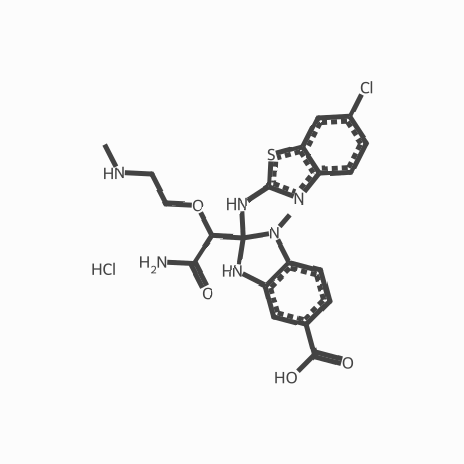 CNCCOC(C(N)=O)C1(Nc2nc3ccc(Cl)cc3s2)Nc2cc(C(=O)O)ccc2N1C.Cl